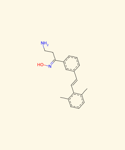 Cc1cccc(C)c1C=Cc1cccc(C(CCN)=NO)c1